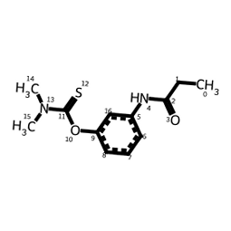 CCC(=O)Nc1cccc(OC(=S)N(C)C)c1